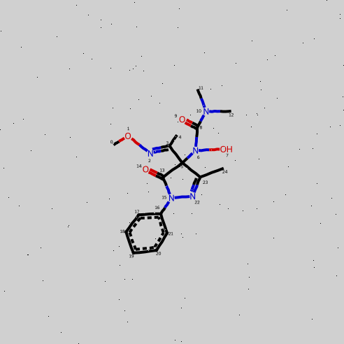 CON=C(C)C1(N(O)C(=O)N(C)C)C(=O)N(c2ccccc2)N=C1C